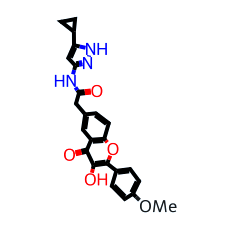 COc1ccc(-c2oc3ccc(CC(=O)Nc4cc(C5CC5)[nH]n4)cc3c(=O)c2O)cc1